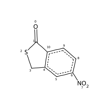 O=C1SCc2cc([N+](=O)[O-])ccc21